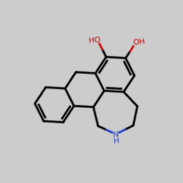 Oc1cc2c3c(c1O)CC1CC=CC=C1C3CNCC2